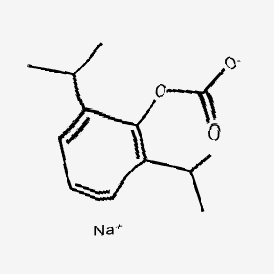 CC(C)c1cccc(C(C)C)c1OC(=O)[O-].[Na+]